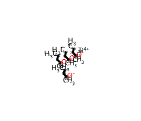 CCCC(C)[O-].CCCC(C)[O-].CCCC(C)[O-].CCCC(C)[O-].[Ti+4]